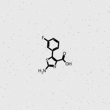 Nc1nc(C(=O)O)c(-c2cccc(F)c2)s1